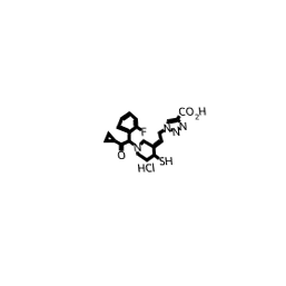 Cl.O=C(O)c1cn(C/C=C2\CN(C(C(=O)C3CC3)c3ccccc3F)CCC2S)nn1